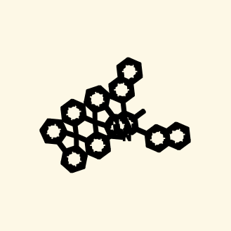 Cc1c(-c2ccc3ccccc3c2)nc(-c2cccc3c2C2(c4ccccc4-c4ccccc42)c2ccccc2C32c3ccccc3-c3ccccc32)nc1-c1ccc2ccccc2c1